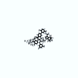 Cn1nc(NS(C)(=O)=O)c2c(Cl)ccc(-n3c([C@H](Cc4cc(F)cc(F)c4)NC(=O)Cn4nc(C(F)F)c5c4C(F)(F)[C@@H]4C[C@H]54)nc4cc(-c5cc(F)ccc5F)ccc4c3=O)c21